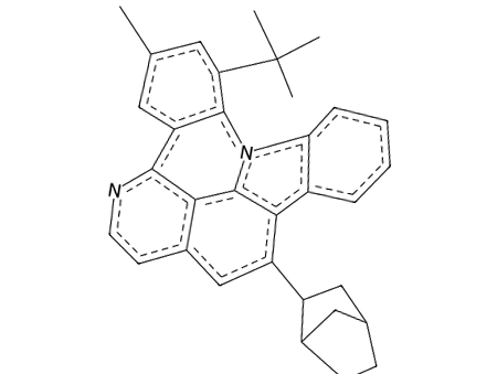 Cc1cc(C(C)(C)C)c2c(c1)c1nccc3cc(C4CC5CCC4C5)c4c5ccccc5n2c4c31